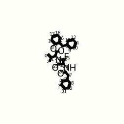 C=C(C)C(C(=O)OC(c1ccccc1)c1ccccc1)N1C(=O)C(NC(=O)Cc2ccccc2)C1F